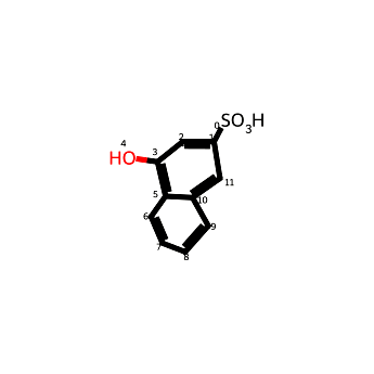 O=S(=O)(O)c1[c]c(O)c2ccccc2c1